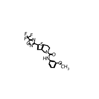 COc1cccc(NC(=O)N2CCc3sc(-c4noc(C(F)(F)F)n4)cc3C2)c1